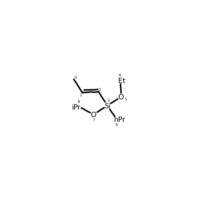 CC=C[Si](CCC)(OCC)OC(C)C